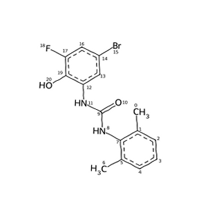 Cc1cccc(C)c1NC(=O)Nc1cc(Br)cc(F)c1O